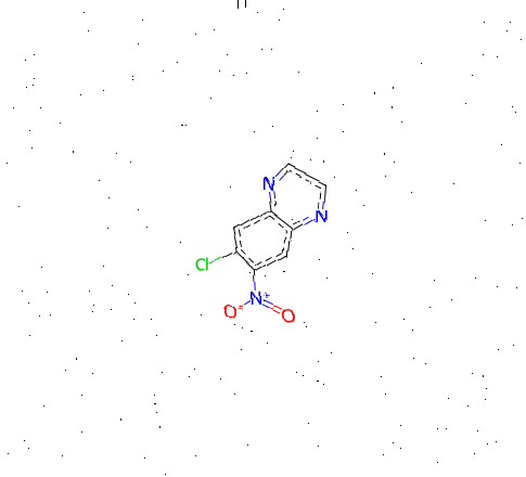 O=[N+]([O-])c1cc2nccnc2cc1Cl